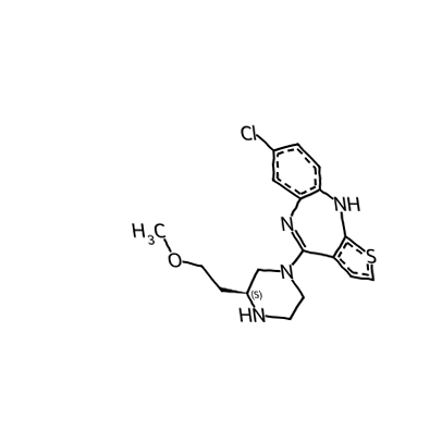 COCC[C@H]1CN(C2=Nc3cc(Cl)ccc3Nc3sccc32)CCN1